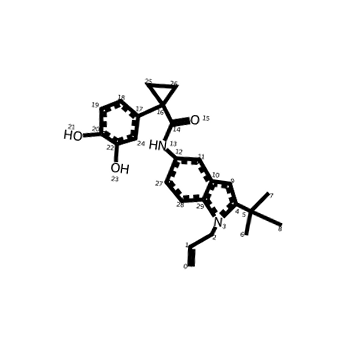 C=CCn1c(C(C)(C)C)cc2cc(NC(=O)C3(c4ccc(O)c(O)c4)CC3)ccc21